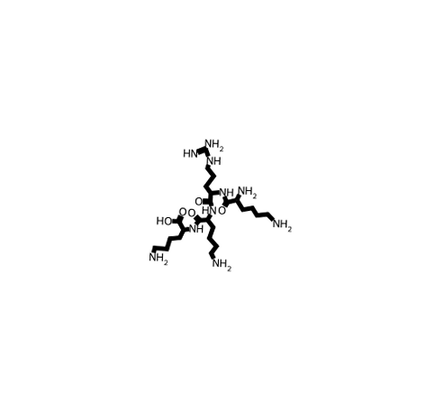 N=C(N)NCCCC(NC(=O)C(N)CCCCN)C(=O)NC(CCCCN)C(=O)NC(CCCCN)C(=O)O